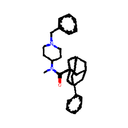 CN(C(=O)C12CC3CC(C1)CC(c1ccccc1)(C3)C2)C1CCN(Cc2ccccc2)CC1